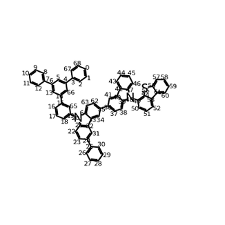 c1ccc(-c2cc(-c3ccccc3)cc(-c3cccc(-n4c5ccc(-c6ccccc6)cc5c5cc(-c6ccc7c(c6)c6ccccc6n7-c6cccc7c6sc6ccccc67)ccc54)c3)c2)cc1